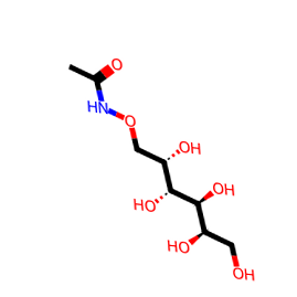 CC(=O)NOC[C@H](O)[C@@H](O)[C@@H](O)[C@H](O)CO